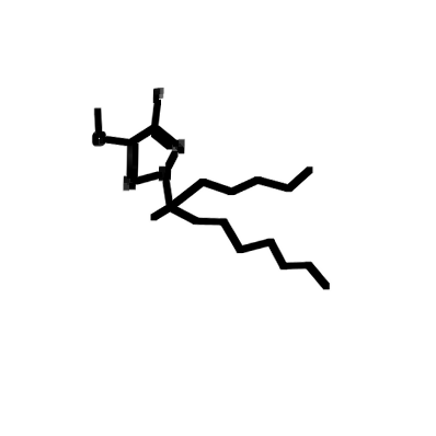 CCCCCCCC(C)(CCCCC)n1nc(F)c(OC)n1